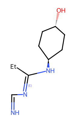 CC/C(=N\C=N)N[C@H]1CC[C@H](O)CC1